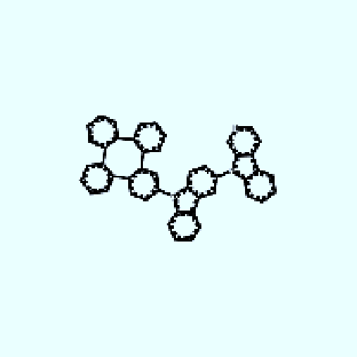 c1ccc2c(c1)-c1ccccc1-c1ccc(-n3c4ccccc4c4cc(-n5c6ccccc6c6ccncc65)ccc43)cc1-c1ccccc1-2